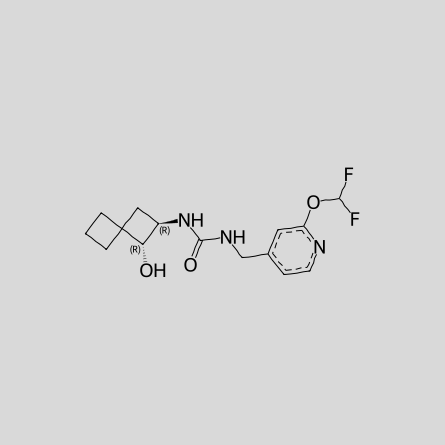 O=C(NCc1ccnc(OC(F)F)c1)N[C@@H]1CC2(CCC2)[C@H]1O